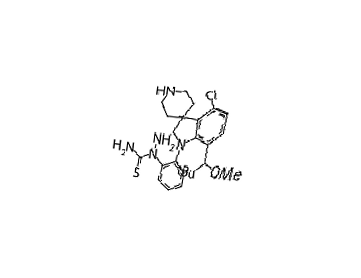 COC(c1ccc(Cl)c2c1N(c1ccccc1N(N)C(N)=S)CC21CCNCC1)C(C)(C)C